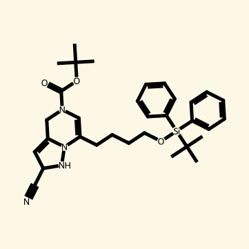 CC(C)(C)OC(=O)N1C=C(CCCCO[Si](c2ccccc2)(c2ccccc2)C(C)(C)C)N2NC(C#N)C=C2C1